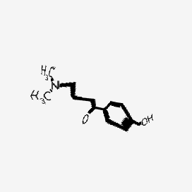 CN(C)CCCC(=O)c1ccc(O)cc1